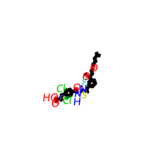 COC(CCOCCCC(C)C)c1cccc(-c2csc(NC(=O)c3cc(Cl)c(/C=C(\C)C(=O)O)c(Cl)c3)n2)c1F